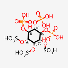 O=P(O)(O)O[C@@H]1[C@@H](OP(=O)(O)O)[C@H](OS(=O)(=O)O)[C@H](OS(=O)(=O)O)[C@H](OS(=O)(=O)O)[C@H]1OP(=O)(O)O